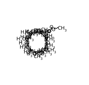 CCCCOC(=O)c1ccc2[nH]c(C[C@@H](C)[C@@H](O)[C@H]3C(=O)N[C@@H](CC)C(=O)N(C)CC(=O)N(C)[C@@H](CC(C)C)C(=O)N[C@@H](C(C)C)C(=O)N(C)[C@@H](CC(C)C)C(=O)N[C@@H](C)C(=O)N[C@H](C)C(=O)N(C)[C@@H](CC(C)C)C(=O)N(C)[C@@H](CC(C)C)C(=O)N(C)[C@@H](C(C)C)C(=O)N3C)nc2c1